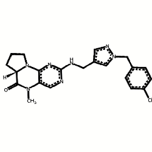 CN1C(=O)[C@@H]2CCCN2c2nc(NCc3cnn(Cc4ccc(Cl)cc4)c3)ncc21